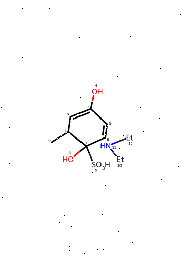 CC1C=C(O)C=CC1(O)S(=O)(=O)O.CCNCC